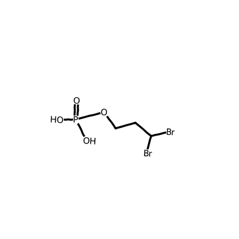 O=P(O)(O)OCCC(Br)Br